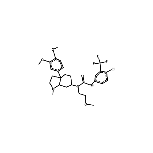 COCCN(C(=O)Nc1ccc(Cl)c(C(F)(F)F)c1)C1CCC2(c3ccc(OC)c(OC)c3)CCN(C)C2C1